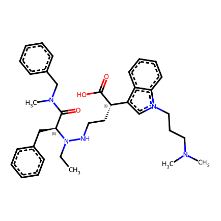 CCN(NCC[C@H](C(=O)O)c1cn(CCCN(C)C)c2ccccc12)[C@@H](Cc1ccccc1)C(=O)N(C)Cc1ccccc1